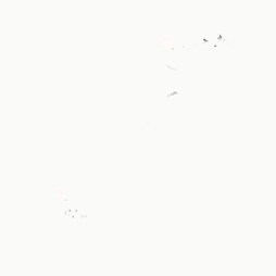 COC(=O)CCCCCCSc1ccc(C(=O)OC)cc1